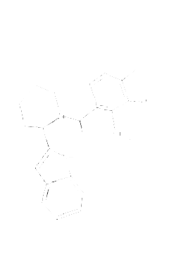 Cc1c(C(F)N2CCCCC2c2cc3ccccc3[nH]2)ccc(F)c1F